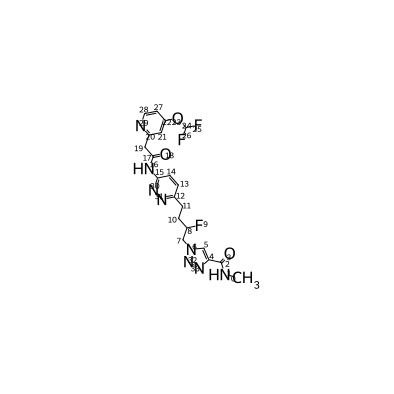 CNC(=O)c1cn(CC(F)CCc2ccc(NC(=O)Cc3cc(OC(F)F)ccn3)nn2)nn1